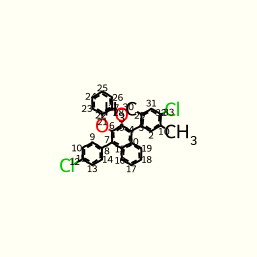 Cc1cc(-c2c3c(c(-c4ccc(Cl)cc4)c4ccccc24)Oc2ccccc2O3)c(C)cc1Cl